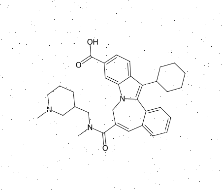 CN1CCCC(CN(C)C(=O)C2=Cc3ccccc3-c3c(C4CCCCC4)c4ccc(C(=O)O)cc4n3C2)C1